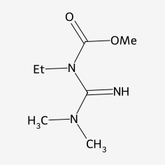 CCN(C(=N)N(C)C)C(=O)OC